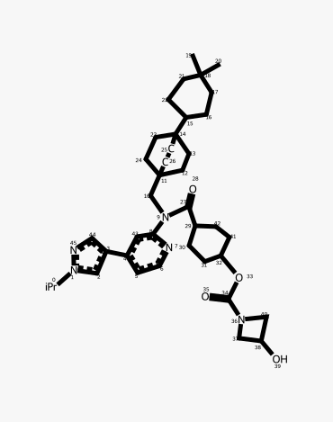 CC(C)n1cc(-c2ccnc(N(CC34CCC(C5CCC(C)(C)CC5)(CC3)CC4)C(=O)C3CCC(OC(=O)N4CC(O)C4)CC3)c2)cn1